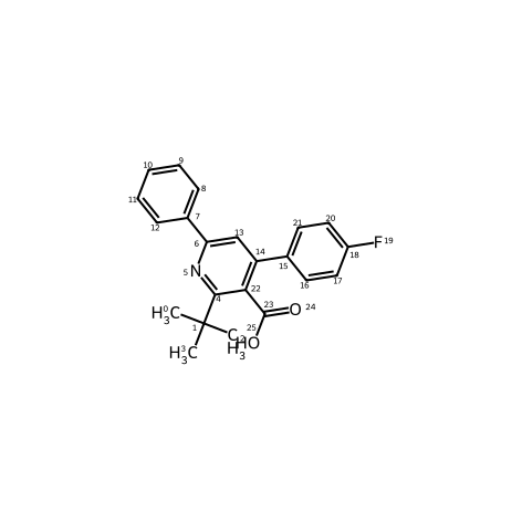 CC(C)(C)c1nc(-c2ccccc2)cc(-c2ccc(F)cc2)c1C(=O)O